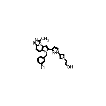 Cc1nnc2ccc3c(cc(-c4ccn(C5CN(CCO)C5)n4)n3Cc3cccc(Cl)c3)n12